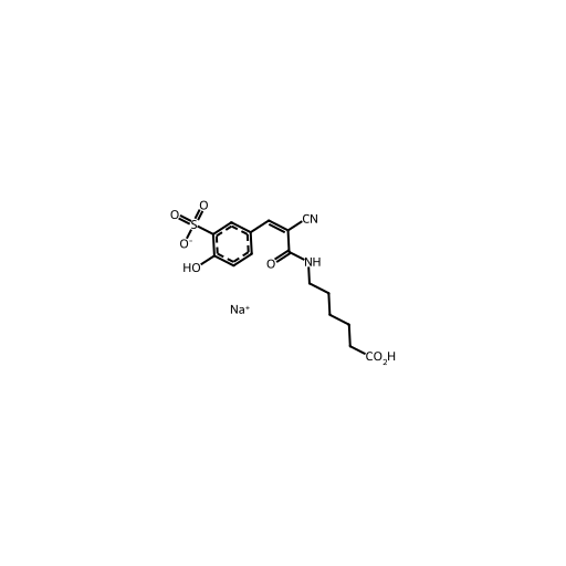 N#CC(=Cc1ccc(O)c(S(=O)(=O)[O-])c1)C(=O)NCCCCCC(=O)O.[Na+]